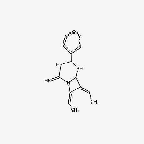 B=C1BC(c2ccccc2)BC2C(=C/C)/C(=C\C)N12